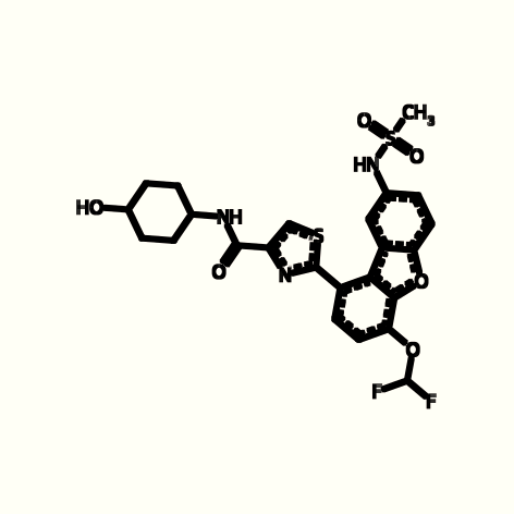 CS(=O)(=O)Nc1ccc2oc3c(OC(F)F)ccc(-c4nc(C(=O)NC5CCC(O)CC5)cs4)c3c2c1